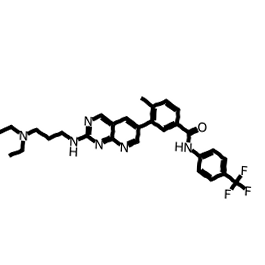 CCN(CC)CCCNc1ncc2cc(-c3cc(C(=O)Nc4ccc(C(F)(F)F)cc4)ccc3C)cnc2n1